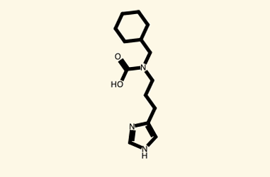 O=C(O)N(CCCc1c[nH]cn1)CC1CCCCC1